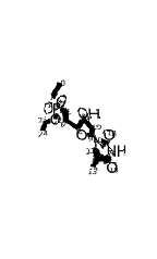 CCOP(=O)(/C=C/C1O[C@@H](n2cc(C)c(=O)[nH]c2=O)C[C@H]1O)OCC